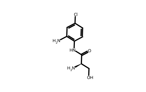 Nc1cc(Cl)c[c]c1NC(=O)[C@H](N)CO